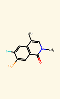 Cn1cc(C(C)(C)C)c2cc(F)c(P)cc2c1=O